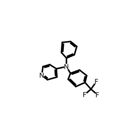 FC(F)(F)c1ccc(N(c2ccccc2)c2ccncc2)cc1